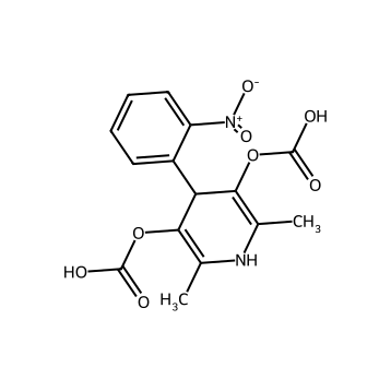 CC1=C(OC(=O)O)C(c2ccccc2[N+](=O)[O-])C(OC(=O)O)=C(C)N1